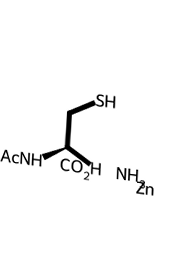 CC(=O)N[C@@H](CS)C(=O)O.N.[Zn]